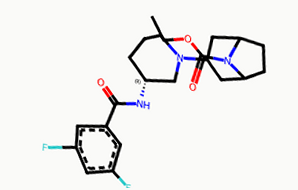 CCOC(=O)N1C2CCC1CC(N1CCC[C@@H](NC(=O)c3cc(F)cc(F)c3)C1)C2